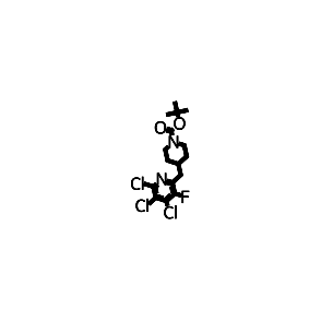 CC(C)(C)OC(=O)N1CCC(Cc2nc(Cl)c(Cl)c(Cl)c2F)CC1